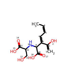 C=C(O)/C(=C\C=C/C)C(NC(CO)C(=O)O)C(=O)O